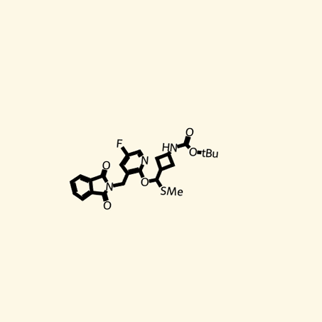 CSC(Oc1ncc(F)cc1CN1C(=O)c2ccccc2C1=O)C1CC(NC(=O)OC(C)(C)C)C1